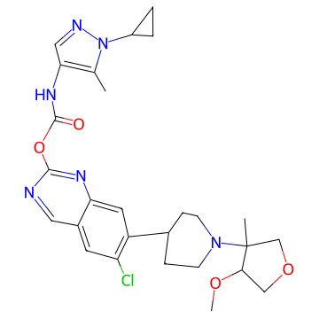 COC1COCC1(C)N1CCC(c2cc3nc(OC(=O)Nc4cnn(C5CC5)c4C)ncc3cc2Cl)CC1